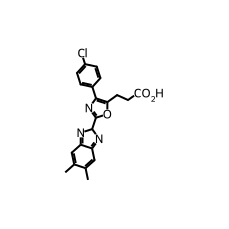 Cc1cc2c(cc1C)=NC(c1nc(-c3ccc(Cl)cc3)c(CCC(=O)O)o1)N=2